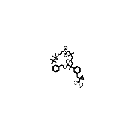 COC(=O)C1(Cc2cccc([C@@](C)(CCCC(C)(C)CS(=O)(=O)CCO[Si](C)(C)C(C)(C)C)C(=O)OCc3ccccc3)c2)CC1